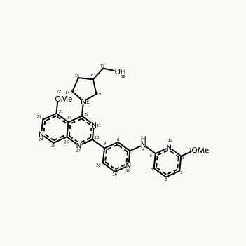 COc1cccc(Nc2cc(-c3nc(N4CCC(CO)C4)c4c(OC)cncc4n3)ccn2)n1